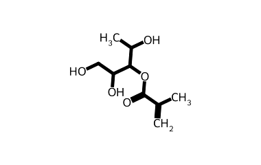 C=C(C)C(=O)OC(C(C)O)C(O)CO